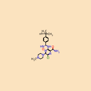 CCCC(C)(C)c1ccc(/C(Nc2nc(N3CCN(C)CC3)c(Cl)nc2C(N)=O)=[NH+]/[O-])cc1